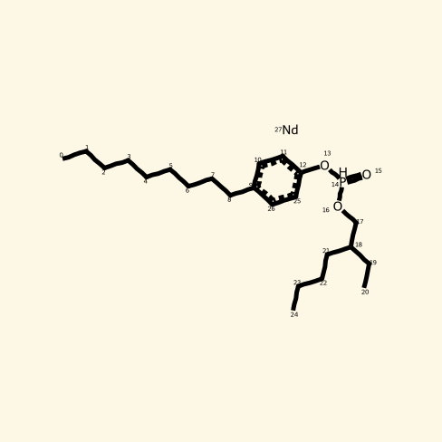 CCCCCCCCCc1ccc(O[PH](=O)OCC(CC)CCCC)cc1.[Nd]